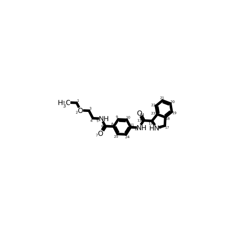 CCOCCNC(=O)c1ccc(NC(=O)C2NCc3ccccc32)cc1